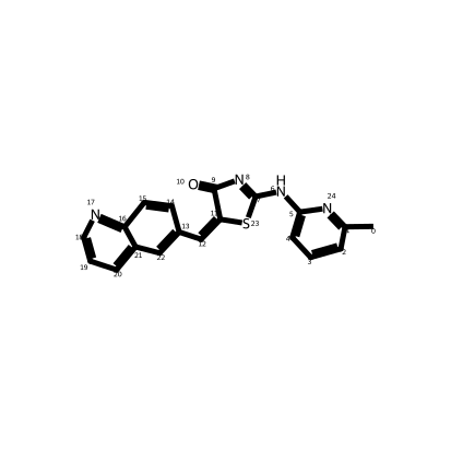 Cc1cccc(NC2=NC(=O)/C(=C\c3ccc4ncccc4c3)S2)n1